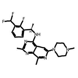 Cc1nc(N[C@H](C)c2cccc(C(F)F)c2F)c2cc(N3CCN(C)CC3)nc(C)c2n1